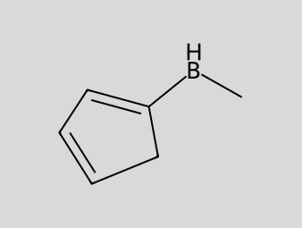 CBC1=CC=CC1